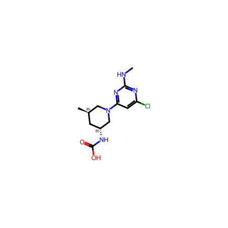 CNc1nc(Cl)cc(N2C[C@H](C)C[C@@H](NC(=O)O)C2)n1